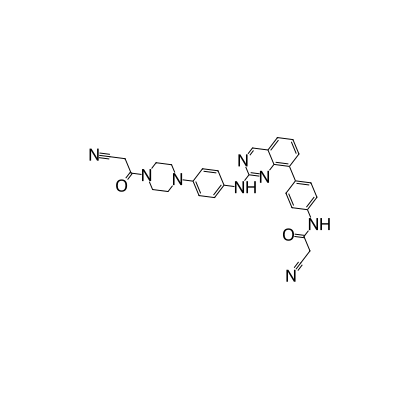 N#CCC(=O)Nc1ccc(-c2cccc3cnc(Nc4ccc(N5CCN(C(=O)CC#N)CC5)cc4)nc23)cc1